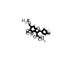 CNC(=O)c1c(-c2ccc(F)cc2)oc2cc(COC)c(OC)c(F)c12